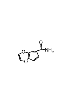 NC(=O)c1ccc2c(c1)OC=CO2